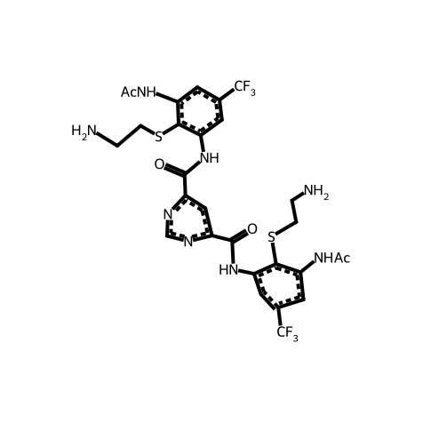 CC(=O)Nc1cc(C(F)(F)F)cc(NC(=O)c2cc(C(=O)Nc3cc(C(F)(F)F)cc(NC(C)=O)c3SCCN)ncn2)c1SCCN